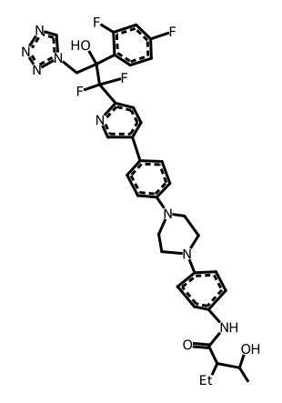 CCC(C(=O)Nc1ccc(N2CCN(c3ccc(-c4ccc(C(F)(F)C(O)(Cn5cnnn5)c5ccc(F)cc5F)nc4)cc3)CC2)cc1)C(C)O